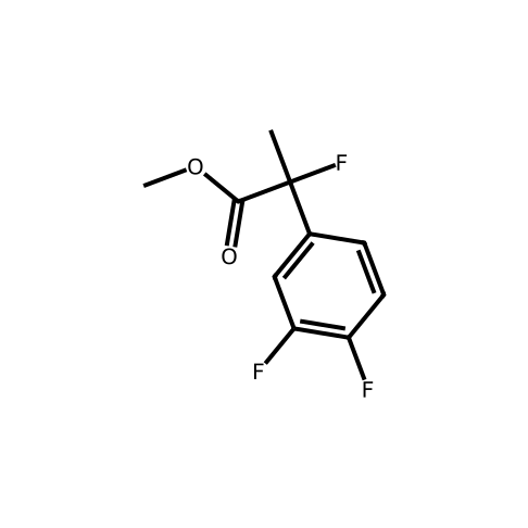 COC(=O)C(C)(F)c1ccc(F)c(F)c1